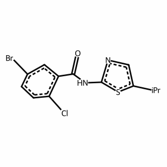 CC(C)c1cnc(NC(=O)c2cc(Br)ccc2Cl)s1